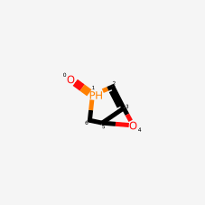 O=[PH]1C=C2OC2C1